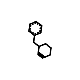 C1#CC(Cc2ccccc2)CCC1